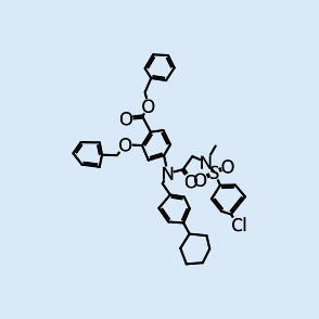 CN(CC(=O)N(Cc1ccc(C2CCCCC2)cc1)c1ccc(C(=O)OCc2ccccc2)c(OCc2ccccc2)c1)S(=O)(=O)c1ccc(Cl)cc1